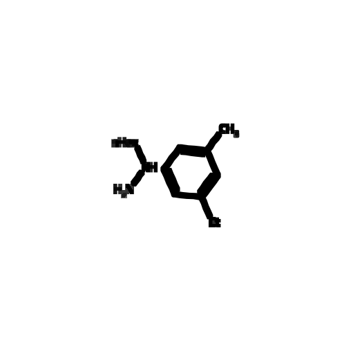 CCCCCCNN.CCc1cccc(C)c1